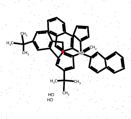 Cl.Cl.[CH2]=[Hf]([C]1=CC=CC1)([c]1ccc2ccccc2c1)([c]1ccc2ccccc2c1)[c]1cc(C(C)(C)C)cc2c1Cc1ccc(C(C)(C)C)cc1-2